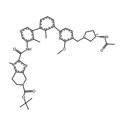 COc1nc(-c2cccc(-c3cccc(NC(=O)c4nc5c(n4C)CCN(C(=O)OC(C)(C)C)C5)c3C)c2C)ccc1CN1CC[C@@H](NC(C)=O)C1